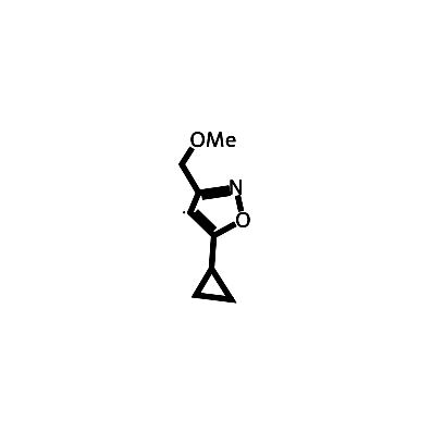 COCc1[c]c(C2CC2)on1